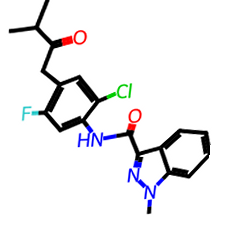 CC(C)C(=O)Cc1cc(Cl)c(NC(=O)c2nn(C)c3ccccc23)cc1F